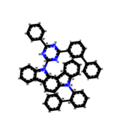 c1ccc(-c2cccc(-c3nc(-c4ccccc4)nc(-n4c5ccccc5c5ccc6c(c7ccccc7n6-c6ccccc6-c6ccccc6)c54)n3)c2)cc1